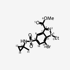 CCn1nc(C(=O)OC)c2cc(S(=O)(=O)NC3(C)CC3)cc(Br)c21